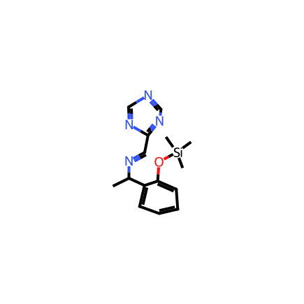 CC(/N=C/c1ncncn1)c1ccccc1O[Si](C)(C)C